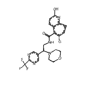 O=C(NCC(c1cnc(C(F)(F)F)nc1)N1CCOCC1)c1c(Cl)ccc2nc(O)ccc12